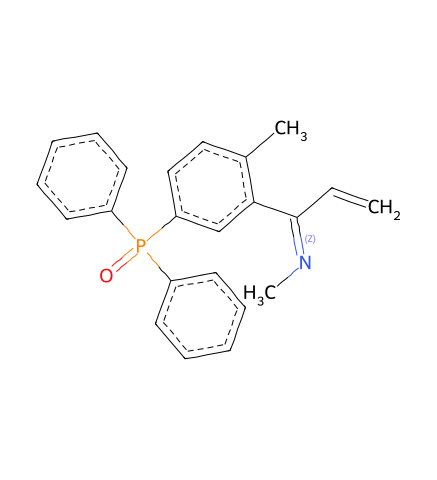 C=C/C(=N/C)c1cc(P(=O)(c2ccccc2)c2ccccc2)ccc1C